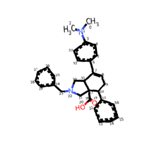 CN(C)c1ccc(C2=CCC(c3ccccc3)C3(C(=O)O)CN(Cc4ccccc4)CC23)cc1